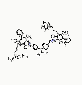 CCC(CC)C(c1ccc(/N=N/c2c(C)c(-[n+]3ccccc3)c(O)n(CCCN(C)C)c2=O)cc1)c1ccc(/N=N/c2c(C)c(-[n+]3ccccc3)c(O)n(CCCN(C)C)c2=O)cc1